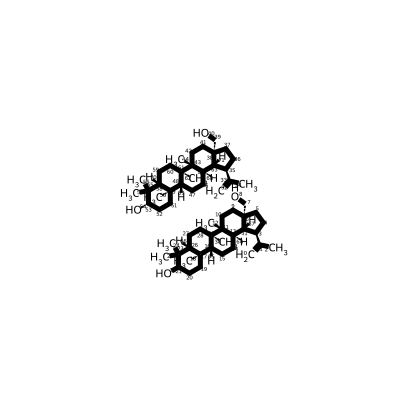 C=C(C)[C@@H]1CC[C@]2(CO)CC[C@]3(C)[C@H](CC[C@@H]4[C@@]5(C)CCC(O)C(C)(C)[C@@H]5CC[C@]43C)[C@@H]12.C=C(C)[C@@H]1CC[C@]2(CO)CC[C@]3(C)[C@H](CC[C@@H]4[C@@]5(C)CC[C@H](O)C(C)(C)[C@@H]5CC[C@]43C)[C@@H]12